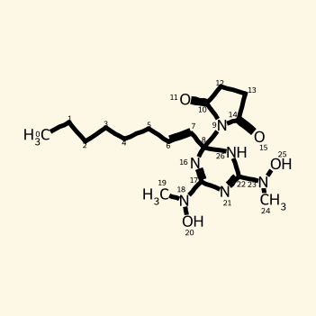 CCCCCCC=CC1(N2C(=O)CCC2=O)N=C(N(C)O)N=C(N(C)O)N1